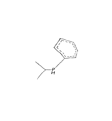 CC(C)Pc1ccccc1